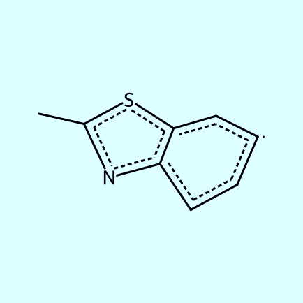 Cc1nc2cc[c]cc2s1